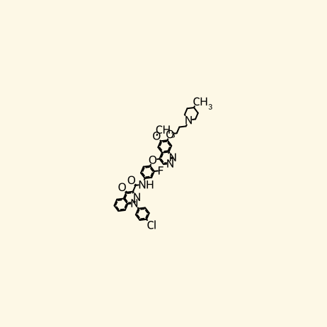 COc1cc2c(Oc3ccc(NC(=O)c4nn(-c5ccc(Cl)cc5)c5ccccc5c4=O)cc3F)cnnc2cc1OCCCN1CCC(C)CC1